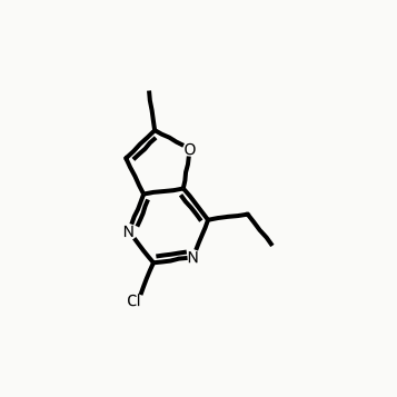 CCc1nc(Cl)nc2cc(C)oc12